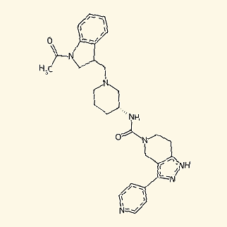 CC(=O)N1CC(CN2CCC[C@@H](NC(=O)N3CCc4[nH]nc(-c5ccncc5)c4C3)C2)c2ccccc21